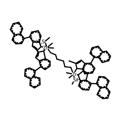 C[SiH2][Zr]([CH3])([CH3])([CH2]CCCC[CH2][Zr]([CH3])([CH3])([SiH2]C)([CH]1C(C)=Cc2c(-c3cccc4ccccc34)cccc21)[CH]1C(C)=Cc2c(-c3cccc4ccccc34)cccc21)([CH]1C(C)=Cc2c(-c3cccc4ccccc34)cccc21)[CH]1C(C)=Cc2c(-c3cccc4ccccc34)cccc21